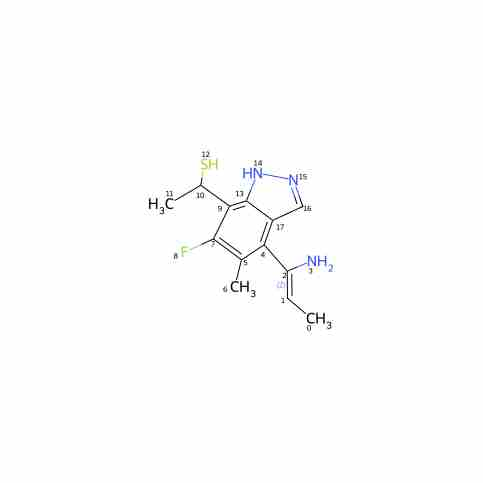 C/C=C(\N)c1c(C)c(F)c(C(C)S)c2[nH]ncc12